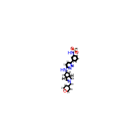 CS(=O)(=O)Nc1cccc(-c2ccc(NC3C[C@@H]4CN(CC5CCOCC5)C[C@@H]4C3)nn2)c1